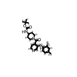 CC(C)(C)OC(=O)NC1CCN(C(=O)c2ccncc2Nc2ccc(I)cc2F)CC1